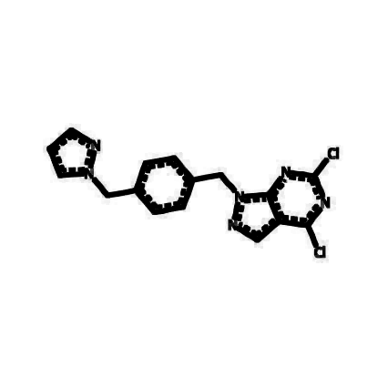 Clc1nc(Cl)c2cnn(Cc3ccc(Cn4cccn4)cc3)c2n1